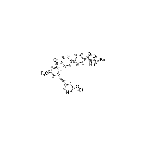 CCOc1cncc(C#Cc2cc(C(=O)N3CCN(c4ccc(C(=O)NS(=O)(=O)C(C)(C)C)cc4)CC3)cc(C(F)(F)F)c2)c1